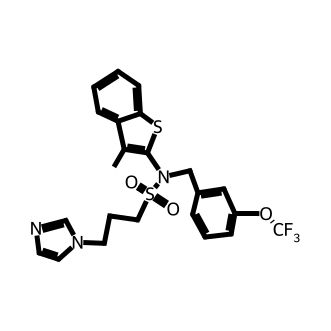 Cc1c(N(Cc2cccc(OC(F)(F)F)c2)S(=O)(=O)CCCn2ccnc2)sc2ccccc12